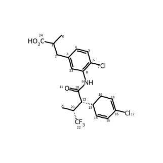 CC(Cc1ccc(Cl)c(NC(=O)[C@H](C2C=CC(Cl)=CC2)[C@@H](C)C(F)(F)F)c1)C(=O)O